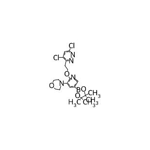 CC1(C)OB(c2cnc(OCCc3nnc(Cl)cc3Cl)c(N3CCOCC3)c2)OC1(C)C